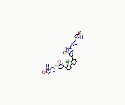 COc1nc(-c2cccc(-c3cccc(-c4cc5c(=O)n(C)c(CNCCC6CCC(=O)N6)nn5c4)c3Cl)c2Cl)ccc1CNCC1CCC(=O)N1